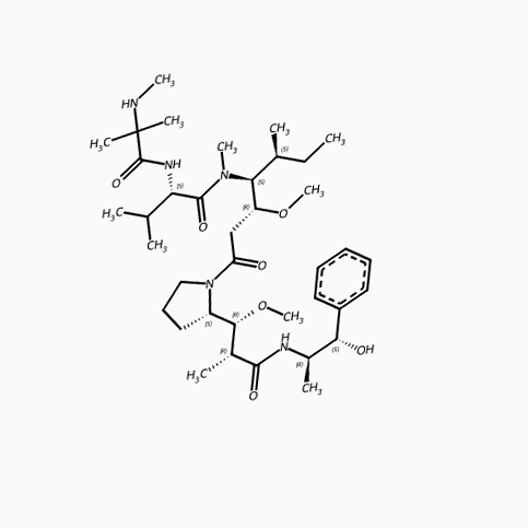 CC[C@H](C)[C@@H]([C@@H](CC(=O)N1CCC[C@H]1[C@H](OC)[C@@H](C)C(=O)N[C@H](C)[C@@H](O)c1ccccc1)OC)N(C)C(=O)[C@@H](NC(=O)C(C)(C)NC)C(C)C